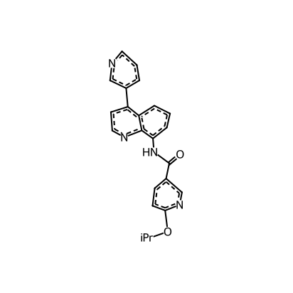 CC(C)Oc1ccc(C(=O)Nc2cccc3c(-c4cccnc4)ccnc23)cn1